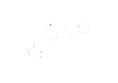 Cc1c(Br)c(=O)n(CC(CO)c2ccccc2)c(=O)n1Cc1c(F)cccc1F